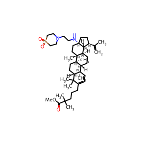 C=C(C)[C@@H]1CC[C@]2(NCCN3CCS(=O)(=O)CC3)CC[C@]3(C)[C@H](CC[C@@H]4[C@@]5(C)CC=C(CCCC(C)(C)C(=O)OC)C(C)(C)[C@@H]5CC[C@]43C)[C@@H]12